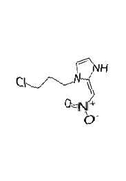 O=[N+]([O-])C=C1NC=CN1CCCCl